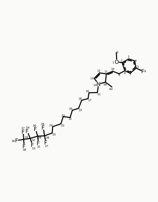 COc1ccc(F)cc1C/C=C1/C=CN(CCCCCCCCCCCC(F)(F)C(F)(F)C(F)(F)C(F)(F)F)C1C